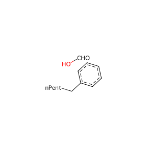 CCCCCCc1ccccc1.O=CO